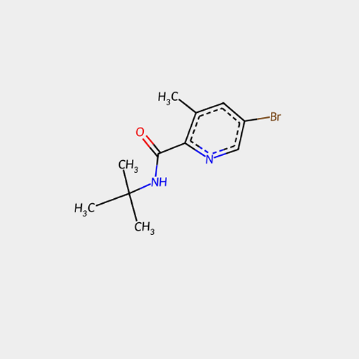 Cc1cc(Br)cnc1C(=O)NC(C)(C)C